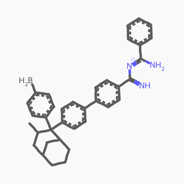 Bc1ccc(C2(c3ccc(-c4ccc(C(=N)/N=C(\N)c5ccccc5)cc4)cc3)C(C)CC3CCCC2C3)cc1